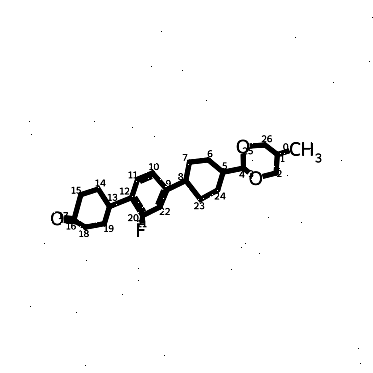 CC1COC(C2CCC(c3ccc(C4CCC(=O)CC4)c(F)c3)CC2)OC1